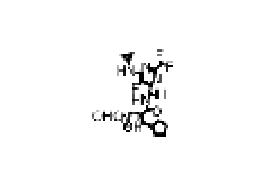 O=CN(O)C[C@H](CC1CCCC1)C(=O)NNc1nc(C(F)F)nc(NC2CC2)c1F